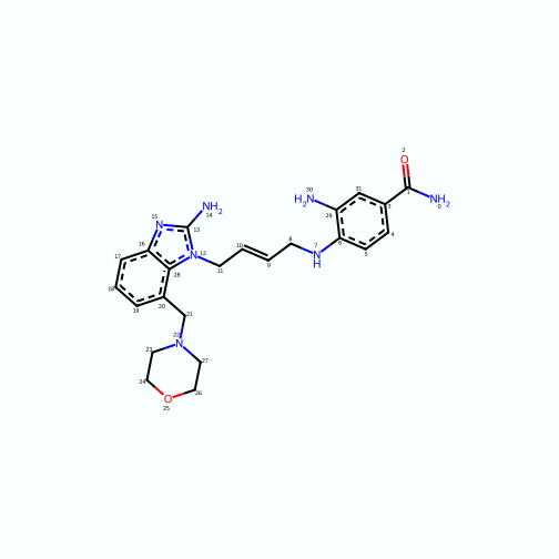 NC(=O)c1ccc(NC/C=C/Cn2c(N)nc3cccc(CN4CCOCC4)c32)c(N)c1